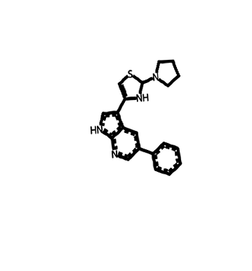 C1=C(c2c[nH]c3ncc(-c4ccccc4)cc23)NC(N2CCCC2)S1